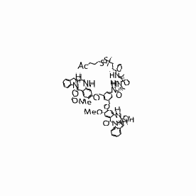 COc1cc2c(cc1OCc1cc(COc3cc4c(cc3OC)C(=O)N3c5ccccc5C[C@H]3C(O)N4)cc(NC(=O)[C@H](C)NC(=O)[C@H](C)NC(=O)CCC(C)(C)SSCCCC(C)=O)c1)NC[C@@H]1Cc3ccccc3N1C2=O